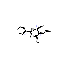 C=C/C=c1/c(=O)oc(C(/C=C\C)=C/C)n/c1=C/C